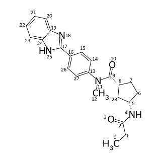 CCC(=O)N[C@H]1CC[C@@H](C(=O)N(C)c2ccc(-c3nc4ccccc4[nH]3)cc2)C1